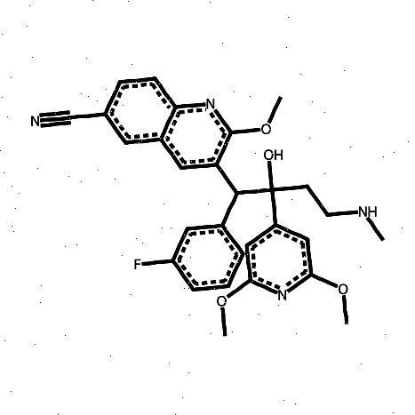 CNCCC(O)(c1cc(OC)nc(OC)c1)C(c1cccc(F)c1)c1cc2cc(C#N)ccc2nc1OC